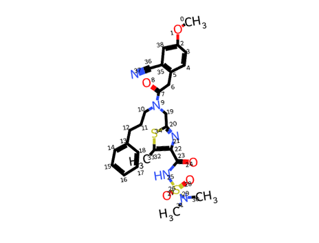 COc1ccc(CC(=O)N(CCCc2ccccc2)Cc2nc(C(=O)NS(=O)(=O)N(C)C)c(C)s2)c(C#N)c1